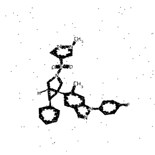 Cc1cc2c(cnn2-c2ccc(F)cc2)cc1[C@]12CN(S(=O)(=O)c3cnn(C)c3)C[C@H]1[C@@H]2c1ccccc1